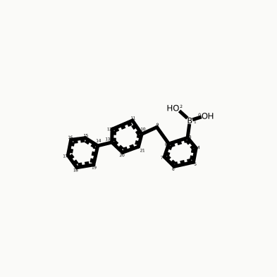 OB(O)c1ccccc1Cc1ccc(-c2ccccc2)cc1